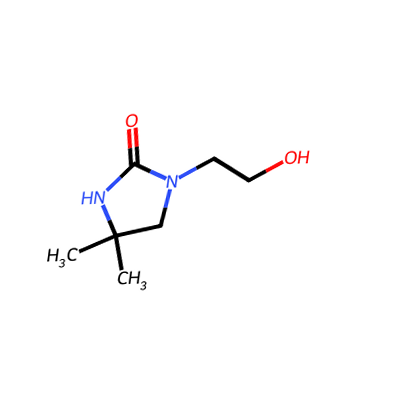 CC1(C)CN(CCO)C(=O)N1